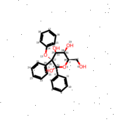 OC[C@H]1O[C@@](O)(c2ccccc2)[C@@](Oc2ccccc2)(c2ccccc2)[C@@H](O)[C@H]1O